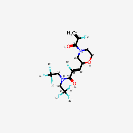 C=C(F)C(=O)N1CCOC(/C=C(\F)C(=O)N(CC(F)(F)F)CC(F)(F)F)C1